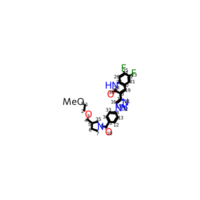 COCCOCC1CCN(C(=O)c2ccc(-n3cc(-c4cc5cc(F)c(F)cc5[nH]c4=O)nn3)cc2)C1